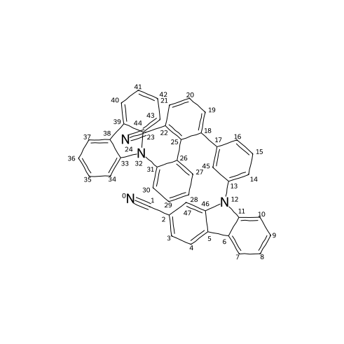 N#Cc1ccc2c3ccccc3n(-c3cccc(-c4cccc(C#N)c4-c4ccccc4-n4c5ccccc5c5ccccc54)c3)c2c1